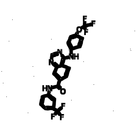 O=C(Nc1cccc(C(F)(F)F)c1)c1ccc2c(Nc3ccc(OC(F)(F)F)cc3)ncnc2c1